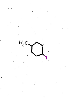 CC1CCC(I)CC1